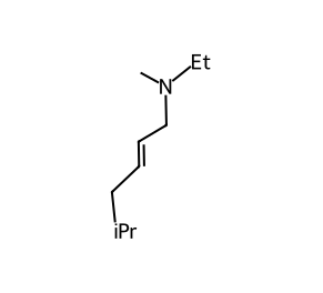 CCN(C)CC=CCC(C)C